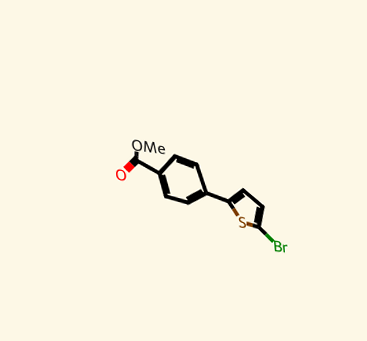 COC(=O)c1ccc(-c2ccc(Br)s2)cc1